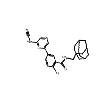 N#CNc1cncc(-c2ccc(Cl)c(C(=O)NCC34CC5CC(CC(C5)C3)C4)c2)n1